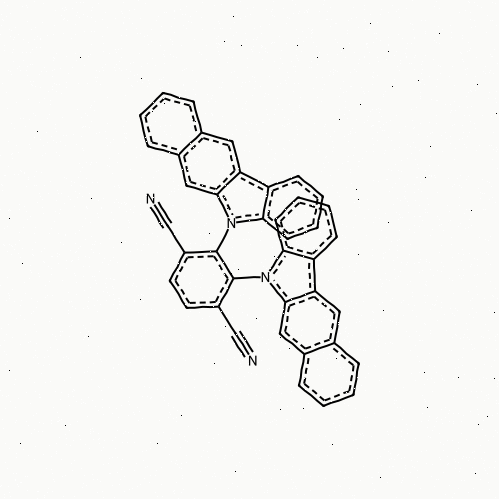 N#Cc1ccc(C#N)c(-n2c3ccccc3c3cc4ccccc4cc32)c1-n1c2ccccc2c2cc3ccccc3cc21